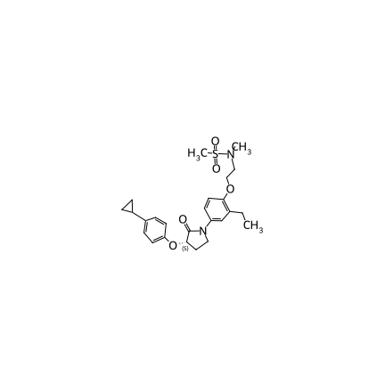 CCc1cc(N2CC[C@H](Oc3ccc(C4CC4)cc3)C2=O)ccc1OCCN(C)S(C)(=O)=O